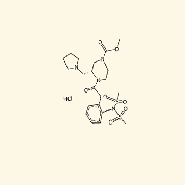 COC(=O)N1CCN(C(=O)Cc2ccccc2N(S(C)(=O)=O)S(C)(=O)=O)[C@H](CN2CCCC2)C1.Cl